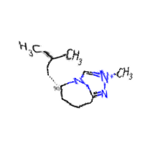 CC(C)C[C@H]1CCc2n[n+](C)cn21